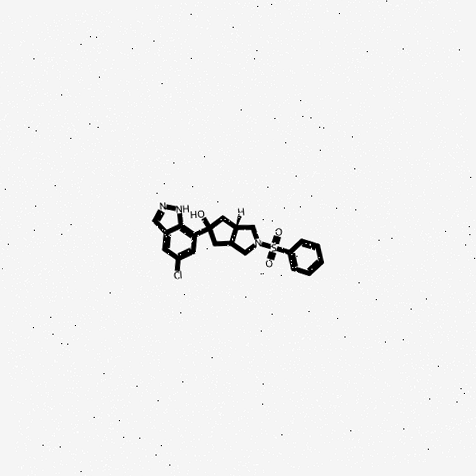 O=S(=O)(c1ccccc1)N1CC2CC(O)(c3cc(Cl)cc4cn[nH]c34)C[C@@H]2C1